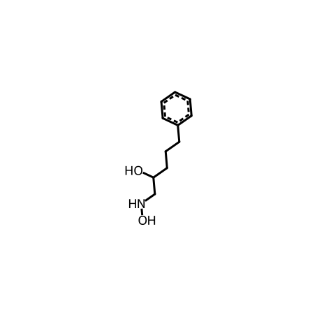 ONCC(O)CCCc1ccccc1